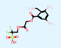 BCc1c(B)cc(B)cc1C(=O)OCC(=O)OCC(F)(F)S(=O)(=O)O